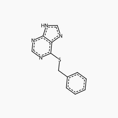 c1ccc(CSc2ncnc3[nH]cnc23)cc1